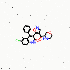 O=C(c1cnoc1-c1c(-c2ccccc2)c2cc(Cl)ccc2[nH]c1=O)C1COCCN1